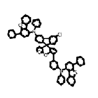 Clc1ccc2c(c1)-c1cc(N(c3ccccc3)c3ccc(-c4ccccc4)c4oc5ccccc5c34)ccc1C21c2ccccc2Oc2c(-c3cccc(N(c4ccccc4)c4ccc(-c5ccccc5)c5sc6ccccc6c45)c3)cccc21